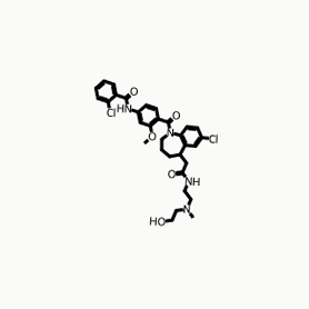 COc1cc(NC(=O)c2ccccc2Cl)ccc1C(=O)N1CCCC(CC(=O)NCCN(C)CCO)c2cc(Cl)ccc21